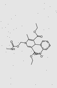 CCOC(=O)C1=CN(COC(=O)NC)C(C)=C(C(=O)OCC)C1c1ccccc1[N+](=O)[O-]